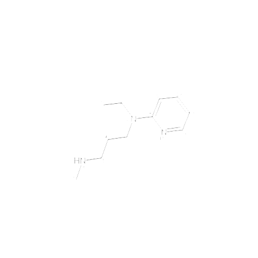 CCN(CCCNC)c1ccccn1